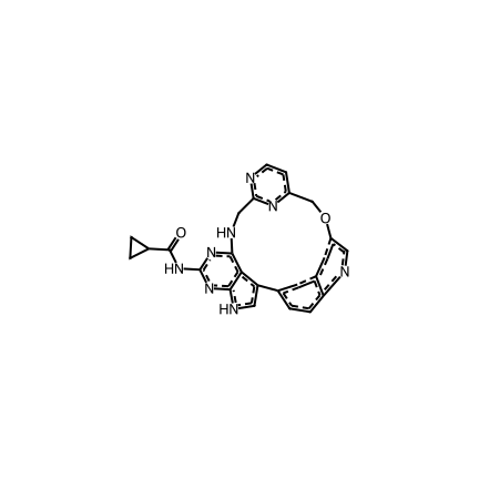 O=C(Nc1nc2c3c(c[nH]c3n1)-c1ccc3ncc(cc3c1)OCc1ccnc(n1)CN2)C1CC1